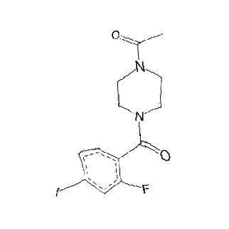 CC(=O)N1CCN(C(=O)c2ccc(I)cc2F)CC1